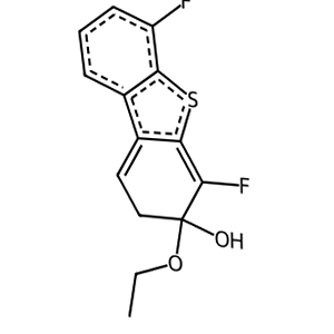 CCOC1(O)CC=c2c(sc3c(F)cccc23)=C1F